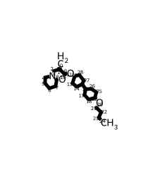 C=C(CN1CCCCC1)C(=O)OC1CCC(C2CCC(OCCCC)CC2)CC1